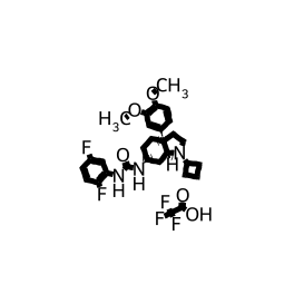 COc1ccc([C@@]23CC[C@@H](NC(=O)Nc4cc(F)ccc4F)C[C@@H]2N(C2CCC2)CC3)cc1OC.O=C(O)C(F)(F)F